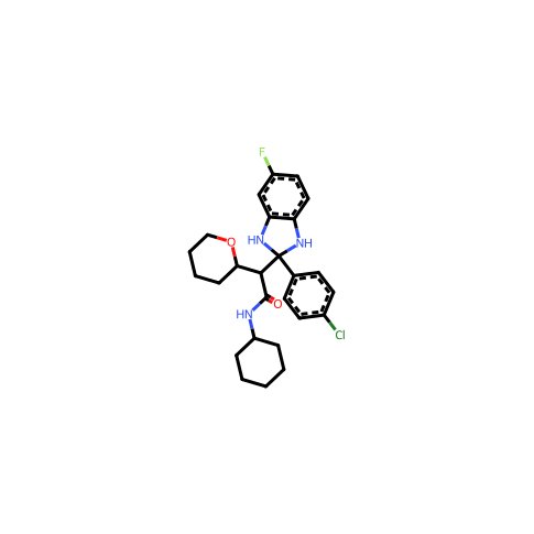 O=C(NC1CCCCC1)C(C1CCCCO1)C1(c2ccc(Cl)cc2)Nc2ccc(F)cc2N1